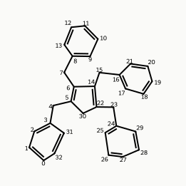 c1ccc(CC2=C(Cc3ccccc3)C(Cc3ccccc3)=C(Cc3ccccc3)C2)cc1